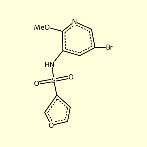 COc1ncc(Br)cc1NS(=O)(=O)c1ccoc1